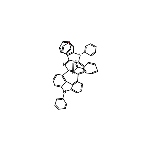 c1ccc(-c2nc(-c3ccccc3)nc(-c3cccc4c3c3c(-c5ccc(N(c6ccccc6)c6ccccc6)cc5)cccc3n4-c3ccccc3)n2)cc1